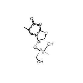 Cc1cn2c(nc1=O)OC[C@@H]2O[C@@H](CO)[C@@H](C)O